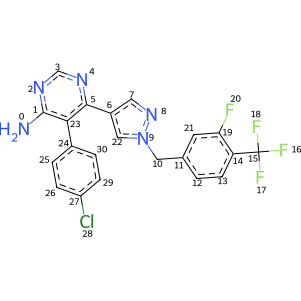 Nc1ncnc(-c2cnn(Cc3ccc(C(F)(F)F)c(F)c3)c2)c1-c1ccc(Cl)cc1